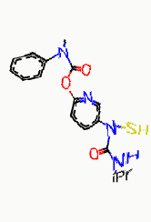 CC(C)NC(=O)N(S)c1ccc(OC(=O)N(C)c2ccccc2)nc1